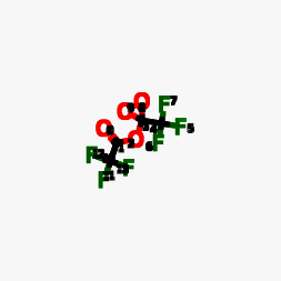 O=C(OC1(C(F)(F)F)OO1)C(F)(F)F